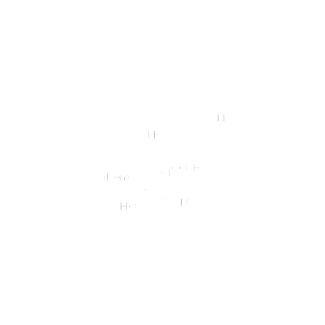 CCCCCC(O)(O)C(=O)O.O=C(O)CC(O)C(=O)O